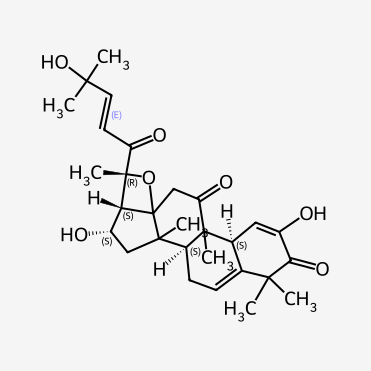 CC(C)(O)/C=C/C(=O)[C@]1(C)OC23CC(=O)C4(C)[C@@H](CC=C5[C@@H]4C=C(O)C(=O)C5(C)C)C2(C)C[C@H](O)[C@@H]31